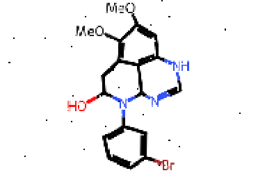 COc1cc2c3c(c1OC)CC(O)N(c1cccc(Br)c1)C3N=CN2